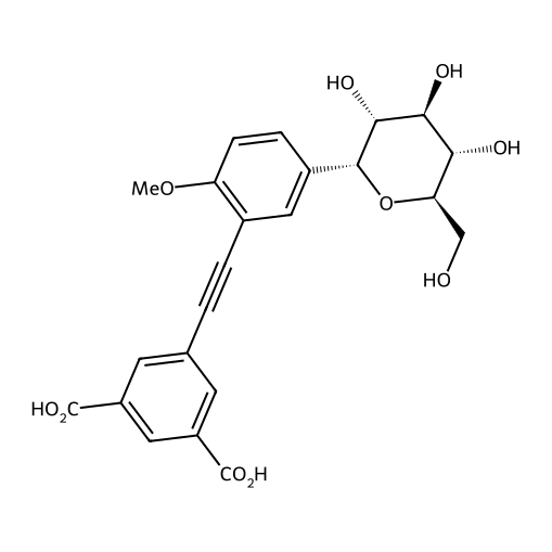 COc1ccc([C@H]2O[C@H](CO)[C@@H](O)[C@H](O)[C@H]2O)cc1C#Cc1cc(C(=O)O)cc(C(=O)O)c1